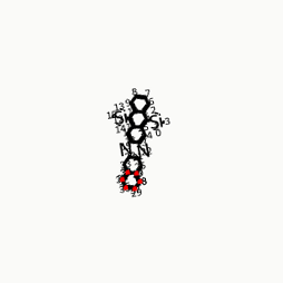 C[Si](C)(C)c1c2ccccc2c([Si](C)(C)C)c2cc3nc4c(nc3cc12)C1c2ccccc2C4c2ccccc21